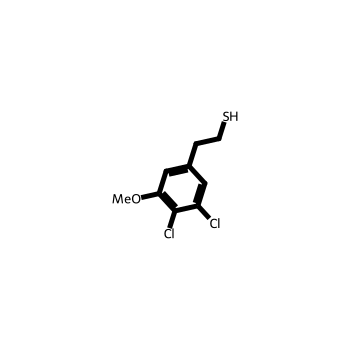 COc1cc(CCS)cc(Cl)c1Cl